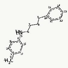 [CH2]c1ccc(NCCCCc2ccccc2)cc1